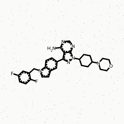 Nc1ncnc2c1c(-c1ccc3c(ccn3Cc3cc(F)ccc3F)c1)nn2C1CCC(N2CCOCC2)CC1